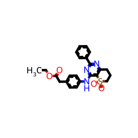 CCOC(=O)Cc1ccc(Nc2nc(-c3ccccc3)nc3c2S(=O)(=O)CCC3)cc1